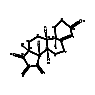 C=C1C(=C)[C@H]2[C@@H]3CCC4=CC(=O)CC[C@]4(C)[C@H]3CC[C@]2(C)C1=O